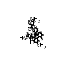 Cc1cc(F)cc(-c2c(F)cccc2C(O)(CCCNC(=O)O)C2CCCN(C(=O)c3ccc(N)nc3)C2)c1